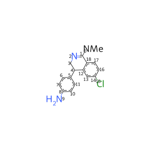 CNC1=NCC(c2ccc(N)cc2)c2cc(Cl)ccc21